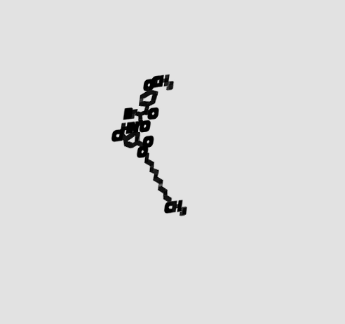 CCCCCCCCCCCCOC(=O)c1ccc(Cl)c(NC(=O)C(Br)C(=O)c2ccc(OC)cc2)c1